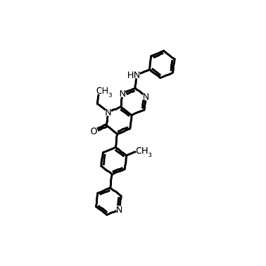 CCn1c(=O)c(-c2ccc(-c3cccnc3)cc2C)cc2cnc(Nc3ccccc3)nc21